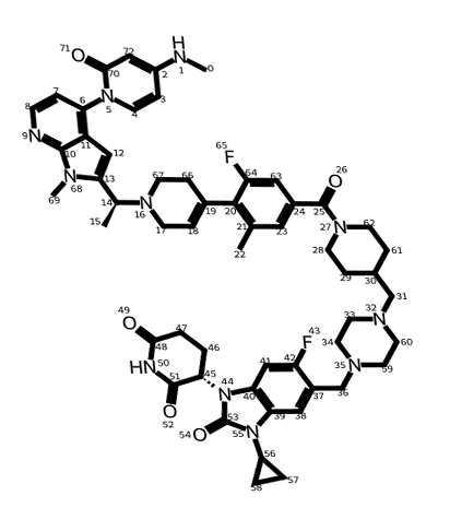 CNc1ccn(-c2ccnc3c2cc([C@H](C)N2CC=C(c4c(C)cc(C(=O)N5CCC(CN6CCN(Cc7cc8c(cc7F)n([C@H]7CCC(=O)NC7=O)c(=O)n8C7CC7)CC6)CC5)cc4F)CC2)n3C)c(=O)c1